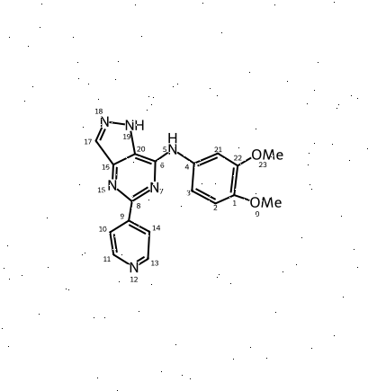 COc1ccc(Nc2nc(-c3ccncc3)nc3cn[nH]c23)cc1OC